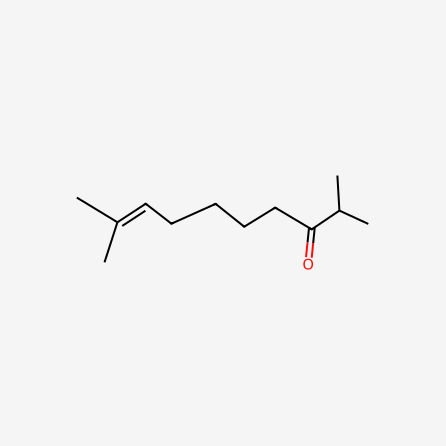 CC(C)=CCCCCC(=O)C(C)C